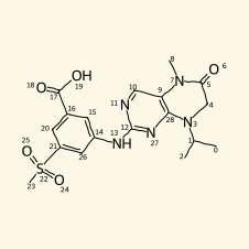 CC(C)N1CC(=O)N(C)c2cnc(Nc3cc(C(=O)O)cc(S(C)(=O)=O)c3)nc21